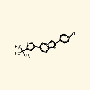 CC(C)(O)c1cc(-c2ccc3nc(-c4ccc(Cl)cc4)cn3c2)cs1